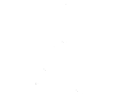 CC(C)CN(C(=O)CC(=O)Nc1ccc([N+](=O)[O-])c(C(F)(F)F)c1)c1ccc([N+](=O)[O-])c(C(F)(F)F)c1